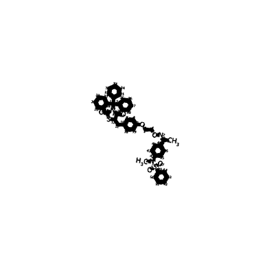 C/C(=N/OCCOc1ccc(CC2SC(=O)N(C(c3ccccc3)(c3ccccc3)c3ccccc3)C2=O)cc1)c1ccc(N(C)S(=O)(=O)c2ccccc2)cc1